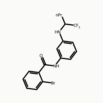 CCCC(Nc1cccc(NC(=O)c2ccccc2Br)c1)C(F)(F)F